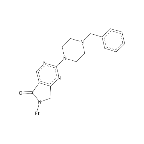 CCN1Cc2nc(N3CCN(Cc4ccccc4)CC3)ncc2C1=O